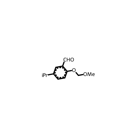 COCOc1ccc(C(C)C)cc1C=O